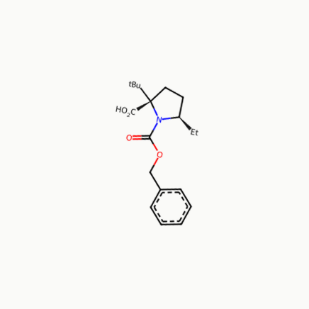 CC[C@@H]1CC[C@@](C(=O)O)(C(C)(C)C)N1C(=O)OCc1ccccc1